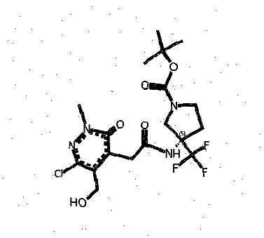 Cn1nc(Cl)c(CO)c(CC(=O)N[C@@]2(C(F)(F)F)CCN(C(=O)OC(C)(C)C)C2)c1=O